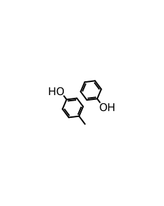 Cc1ccc(O)cc1.Oc1ccccc1